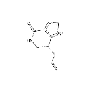 C=CC[C@@H]1CNC(=O)c2cc[nH]c21